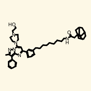 Cc1nn2c(N3CCN(CCO)CC3)cc(-c3cccc(CCCCCCCCCNC(=O)CC45CC6CC(CC(C6)C4)C5)c3)nc2c1-c1ccccc1